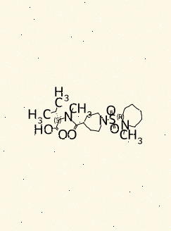 CC(C)[C@@H](C(=O)O)N(C)C(=O)C1CCN(S(=O)(=O)[C@@H]2CCCCCN2C)CC1